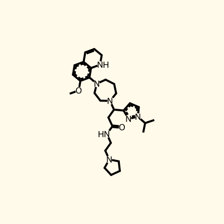 COc1ccc2c(c1N1CCCN(C(CC(=O)NCCN3CCCC3)c3ccn(C(C)C)n3)CC1)NCC=C2